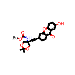 CC(C)(C)OC(=O)NC1(C#Cc2ccc3c(=O)c4cc(O)ccc4oc3c2)COC(C)(C)OC1